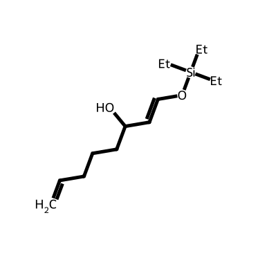 C=CCCCC(O)C=CO[Si](CC)(CC)CC